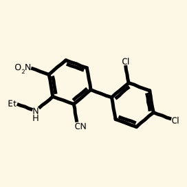 CCNc1c([N+](=O)[O-])ccc(-c2ccc(Cl)cc2Cl)c1C#N